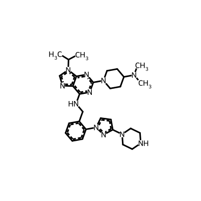 CC(C)n1cnc2c(NCc3ccccc3-n3ccc(N4CCNCC4)n3)nc(N3CCC(N(C)C)CC3)nc21